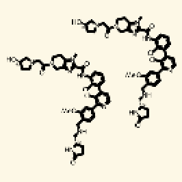 COc1cc(-c2nccc(-c3cccc(NC(=O)c4nc5c(n4C)CCN(C(=O)CN4CC[C@@H](O)C4)C5)c3Cl)c2Cl)ccc1CNC[C@@H]1CCC(=O)N1.COc1cc(-c2nccc(-c3cccc(NC(=O)c4nc5c(n4C)CCN(C(=O)CN4CC[C@@H](O)C4)C5)c3Cl)c2Cl)ccc1CNC[C@@H]1CCC(=O)N1